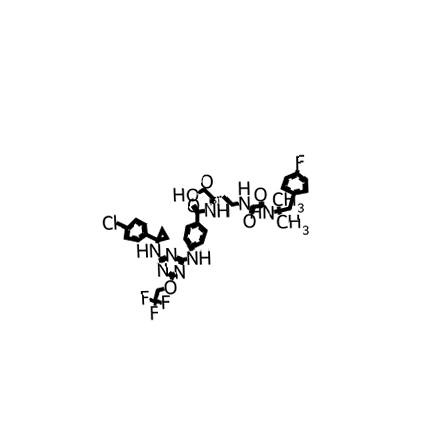 CC(C)(Cc1ccc(F)cc1)NC(=O)C(=O)NCC[C@H](NC(=O)c1ccc(Nc2nc(NC3(c4ccc(Cl)cc4)CC3)nc(OCC(F)(F)F)n2)cc1)C(=O)O